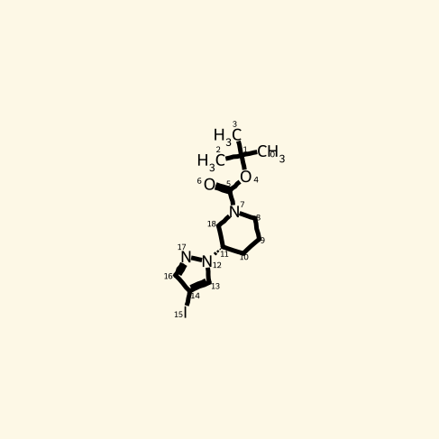 CC(C)(C)OC(=O)N1CCC[C@H](n2cc(I)cn2)C1